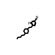 CCCCCC1CCC(CCc2ccc(C#N)cc2F)CC1